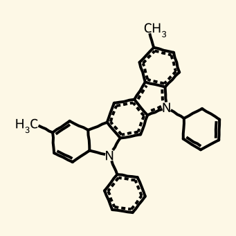 CC1=CC2c3cc4c5cc(C)ccc5n(C5C=CC=CC5)c4cc3N(c3ccccc3)C2C=C1